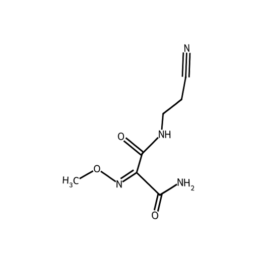 CON=C(C(N)=O)C(=O)NCCC#N